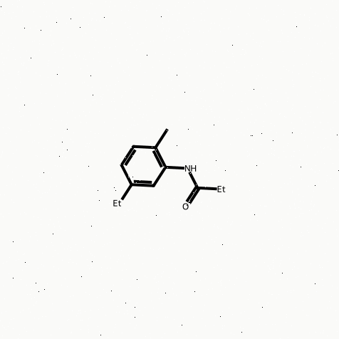 CCC(=O)Nc1cc(CC)ccc1C